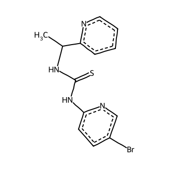 CC(NC(=S)Nc1ccc(Br)cn1)c1ccccn1